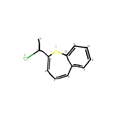 CC(Cl)C1=CC=Cc2ccccc2S1